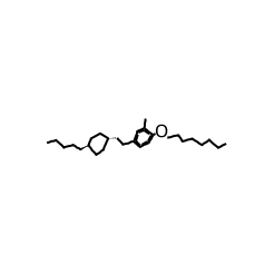 CCCCCCCCOc1ccc(CC[C@H]2CC[C@H](CCCCC)CC2)cc1C